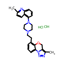 Cc1ccc2c(N3CCN(CCc4cccc5c4OCc4c(C)nnn4-5)CC3)cccc2n1.Cl.Cl